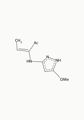 C/C=C(/Nc1cc(OC)[nH]n1)C(C)=O